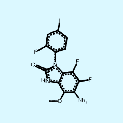 COc1c(N)c(F)c(F)c2c1[nH]c(=O)n2-c1ccc(I)cc1F